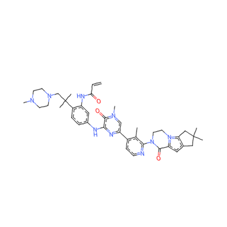 C=CC(=O)Nc1cc(Nc2nc(-c3ccnc(N4CCn5c(cc6c5CC(C)(C)C6)C4=O)c3C)cn(C)c2=O)ccc1C(C)(C)CN1CCN(C)CC1